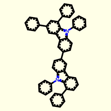 c1ccc(-c2cc(-c3ccccc3)c3c(c2)c2cc(-c4ccc5c(c4)c4cccc(-c6ccccc6)c4n5-c4ccccc4)ccc2n3-c2ccccc2)cc1